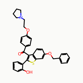 O=C(c1ccc(OCCN2CCCC2)cc1)c1c(-c2ccccc2O)sc2cc(OCc3ccccc3)ccc12